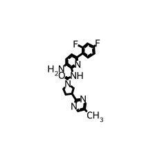 Cc1cnc(C2CCN(C(=O)Nc3nc(-c4ccc(F)cc4F)ccc3N)C2)nc1